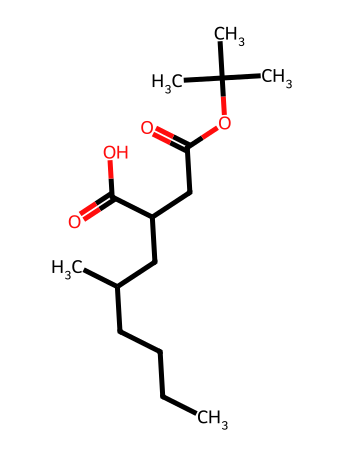 CCCCC(C)CC(CC(=O)OC(C)(C)C)C(=O)O